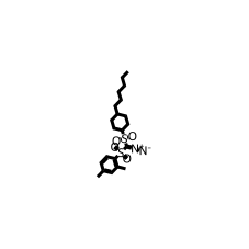 CCCCCCC1CCC(S(=O)(=O)C(=[N+]=[N-])S(=O)(=O)c2ccc(C)cc2C)CC1